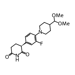 COC(OC)C1CCN(c2ccc([C@@H]3CCC(=O)NC3=O)cc2F)CC1